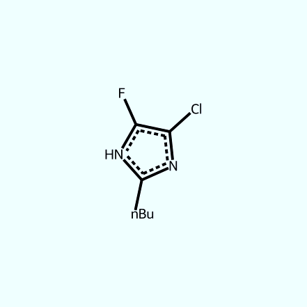 CCCCc1nc(Cl)c(F)[nH]1